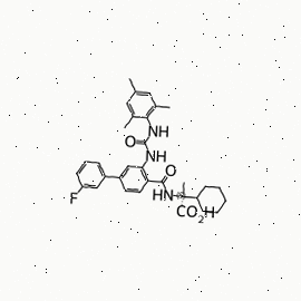 Cc1cc(C)c(NC(=O)Nc2cc(-c3cccc(F)c3)ccc2C(=O)N[C@](C)(C(=O)O)C2CCCCC2)c(C)c1